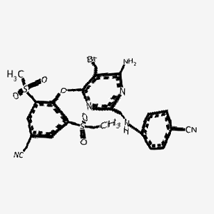 CS(=O)(=O)c1cc(C#N)cc(S(C)(=O)=O)c1Oc1nc(Nc2ccc(C#N)cc2)nc(N)c1Br